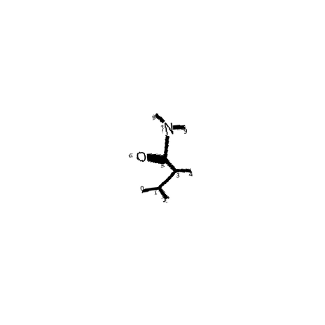 CC(C)C(C)C(=O)N(C)C